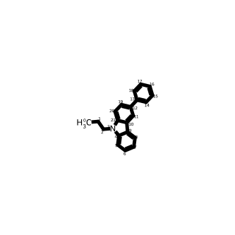 CCCn1c2ccccc2c2cc(-c3ccccc3)ccc21